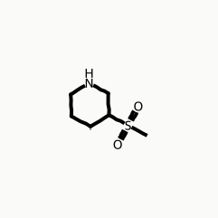 CS(=O)(=O)C1[CH]CCNC1